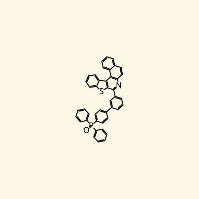 O=P(c1ccccc1)(c1ccccc1)c1ccc(-c2cccc(-c3nc4ccc5ccccc5c4c4c3sc3ccccc34)c2)cc1